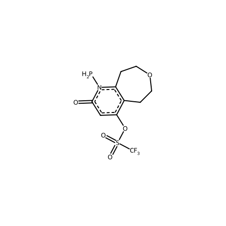 O=c1cc(OS(=O)(=O)C(F)(F)F)c2c(n1P)CCOCC2